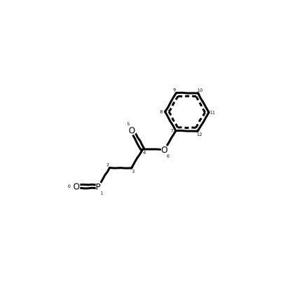 O=PCCC(=O)Oc1ccccc1